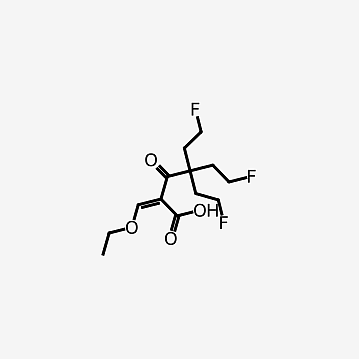 CCOC=C(C(=O)O)C(=O)C(CCF)(CCF)CCF